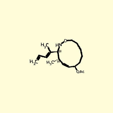 C=CC=C(C)[C@H]1NOCCCCCC(OC(C)=O)C=C[C@@H]1C